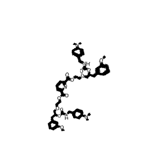 COc1cccc(CC(COCCOC(=O)c2cccc(C(=O)OCCOCC(Cc3cccc(OC)c3)OC(=O)NCc3ccc(N(C)C)cc3)n2)OC(=O)NCc2ccc(N(C)C)cc2)c1